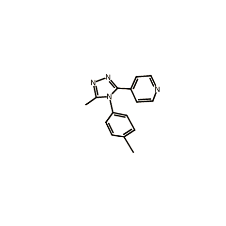 Cc1ccc(-n2c(C)nnc2-c2ccncc2)cc1